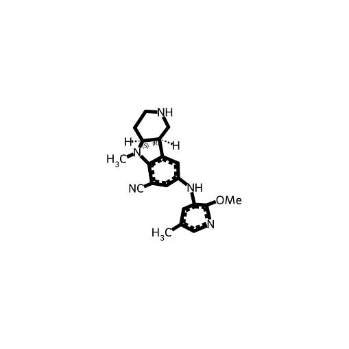 COc1ncc(C)cc1Nc1cc(C#N)c2c(c1)[C@@H]1CNCC[C@@H]1N2C